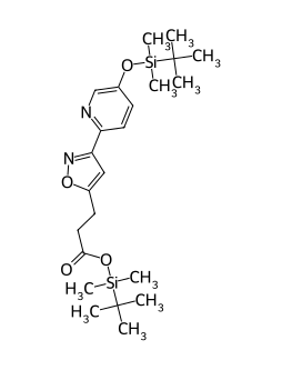 CC(C)(C)[Si](C)(C)OC(=O)CCc1cc(-c2ccc(O[Si](C)(C)C(C)(C)C)cn2)no1